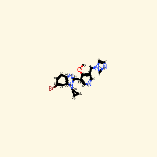 COc1c(Cn2ccnc2)cncc1-c1nc2ccc(Br)cc2n1C1CC1